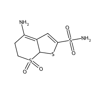 NC1=C2C=C(S(N)(=O)=O)SC2S(=O)(=O)CC1